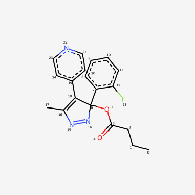 CCCC(=O)OC1(c2ccccc2F)N=NC(C)=C1c1ccncc1